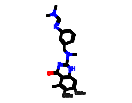 COc1cc2[nH]c(N(C)Cc3cccc(N=CN(C)C)c3)nc(=O)c2c(C)c1OC